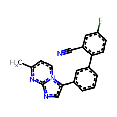 Cc1ccn2c(-c3cccc(-c4ccc(F)cc4C#N)c3)cnc2n1